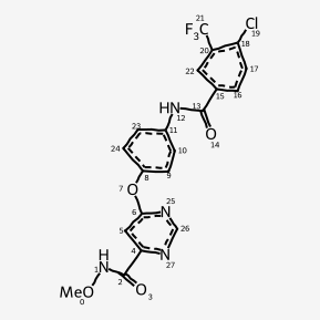 CONC(=O)c1cc(Oc2ccc(NC(=O)c3ccc(Cl)c(C(F)(F)F)c3)cc2)ncn1